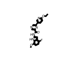 CCOc1ccc(-c2cncc(C(=O)Nc3cc4c(F)ccc(OC)c4[nH]3)n2)cn1